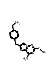 CCCCOc1nc(N)c2nc(Cc3ccc(CN)cc3)cn2n1